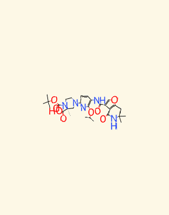 CC(C)Oc1nc(N2CCN(C(=O)OC(C)(C)C)[C@](C)(C(=O)O)C2)ccc1NC(=O)c1coc2c1C(=O)NC(C)(C)C2